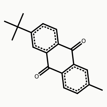 Cc1ccc2c(c1)C(=O)c1ccc(C(C)(C)C)cc1C2=O